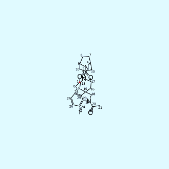 CCOC(=O)N1C2CCC1CC(N1CCC3(CC1)CN(C(C)=O)c1c(F)cccc13)C2